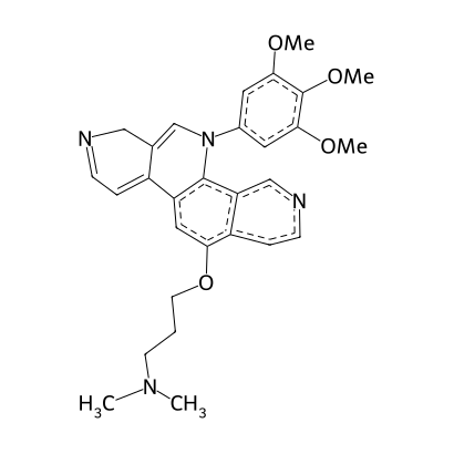 COc1cc(N2C=C3CN=CC=C3c3cc(OCCCN(C)C)c4ccncc4c32)cc(OC)c1OC